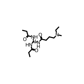 CCC(=O)[NH][Al]([NH]C(=O)CC)[NH]C(=O)CCCN(C)CC